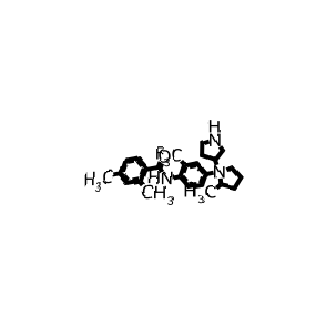 Cc1ccc(C(=O)Nc2ccc([N+]3(C4CCNC4)CCCC3C)cc2C(F)(F)F)c(C)c1